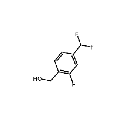 OCc1ccc(C(F)F)cc1F